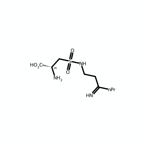 CCCC(=N)CCNS(=O)(=O)C[C@H](N)C(=O)O